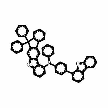 c1ccc(N(c2ccc(-c3cccc4c3oc3ccccc34)cc2)c2cccc3oc4cc5c(cc4c23)-c2ccccc2C5(c2ccccc2)c2ccccc2)cc1